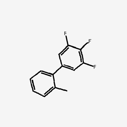 Cc1ccccc1-c1cc(F)c(F)c(F)c1